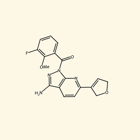 COc1c(F)cccc1C(=O)n1nc(N)c2ccc(C3=CCOC3)nc21